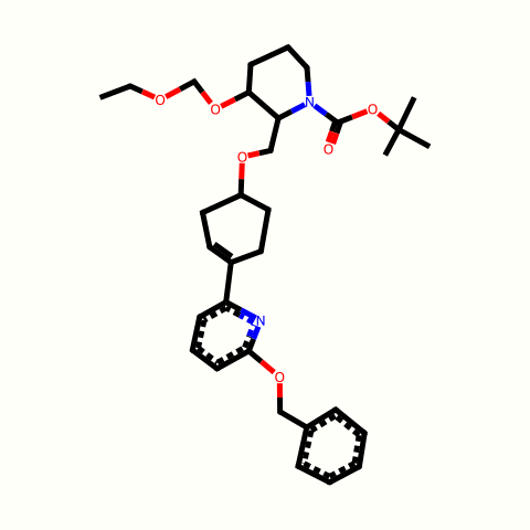 CCOCOC1CCCN(C(=O)OC(C)(C)C)C1COC1CC=C(c2cccc(OCc3ccccc3)n2)CC1